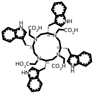 O=C(O)CN1C[C@H](Cc2c[nH]c3ccccc23)N(CC(=O)O)C[C@H](Cc2c[nH]c3ccccc23)N(CC(=O)O)C[C@H](Cc2c[nH]c3ccccc23)N(CC(=O)O)C[C@@H]1Cc1c[nH]c2ccccc12